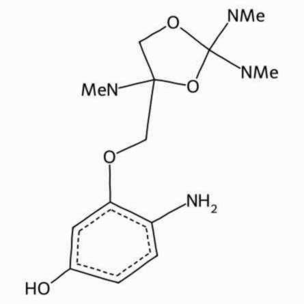 CNC1(COc2cc(O)ccc2N)COC(NC)(NC)O1